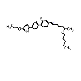 C=CCOc1ccc(-c2ccc(-c3ccc(/C=C/CCCC(C)OCCCCC)cc3F)cc2)nc1